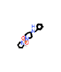 C[C@@H]1CCCCN1S(=O)(=O)N1CCC(NCc2ccccc2)CC1